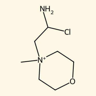 C[N+]1(CC(N)Cl)CCOCC1